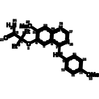 CCC(CC)(Oc1cc2c(Nc3ccc(OC)cc3)ncnc2cc1OC)C(N)=O